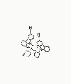 C#C/C=C(\C(=C/C)c1cccc(-n2c3ccccc3c3cc(C#N)ccc32)c1)C1(C#N)CCCCC1n1c2ccccc2c2cc(C#N)ccc21